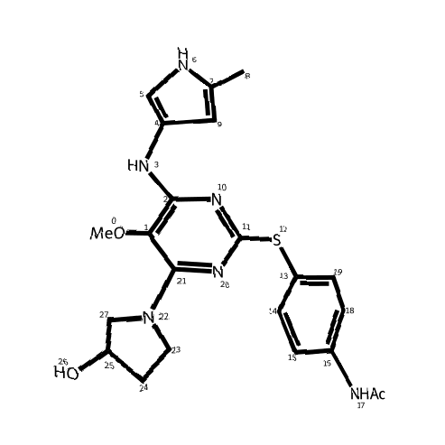 COc1c(Nc2c[nH]c(C)c2)nc(Sc2ccc(NC(C)=O)cc2)nc1N1CCC(O)C1